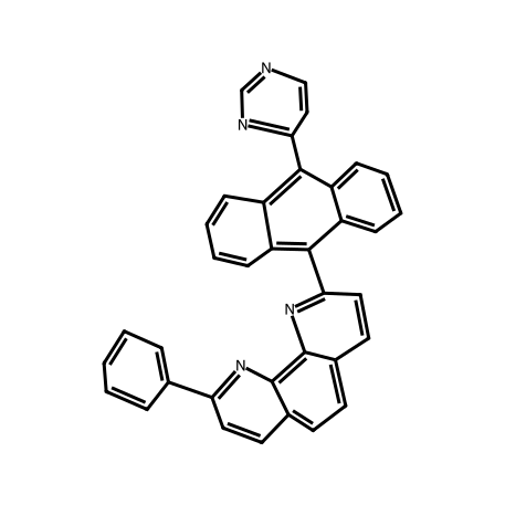 c1ccc(-c2ccc3ccc4ccc(-c5c6ccccc6c(-c6ccncn6)c6ccccc56)nc4c3n2)cc1